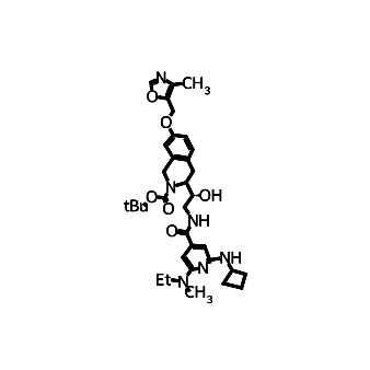 CCN(C)c1cc(C(=O)NC[C@@H](O)C2Cc3ccc(OCc4ocnc4C)cc3CN2C(=O)OC(C)(C)C)cc(NC2CCC2)n1